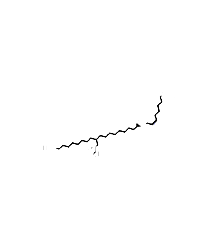 CCCCCC/C=C\COC(=O)CCCCCCCCC(CCCCCCCCC)CN(C)C